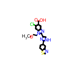 COCCn1c(-c2c[nH]c(-c3ccc4scnc4c3)n2)nc2cc(C(=O)O)c(Cl)cc21